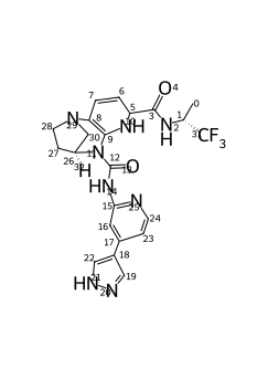 C[C@@H](NC(=O)C1C=CC2=C(N1)N(C(=O)Nc1cc(-c3cn[nH]c3)ccn1)[C@H]1CCN2C1)C(F)(F)F